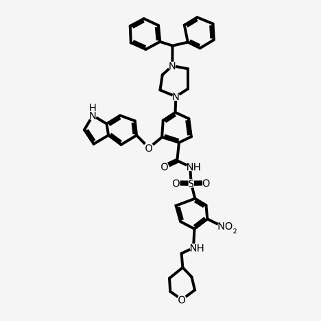 O=C(NS(=O)(=O)c1ccc(NCC2CCOCC2)c([N+](=O)[O-])c1)c1ccc(N2CCN(C(c3ccccc3)c3ccccc3)CC2)cc1Oc1ccc2[nH]ccc2c1